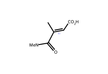 CNC(=O)/C(C)=C/C(=O)O